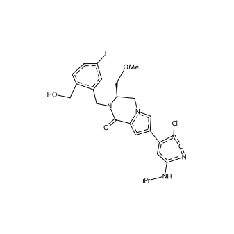 COC[C@H]1Cn2cc(-c3cc(NC(C)C)ncc3Cl)cc2C(=O)N1Cc1cc(F)ccc1CO